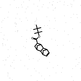 CC(C)(C)C(C)(C)OC(=O)C1CC2CC1C1C3C=CC(C3)C21